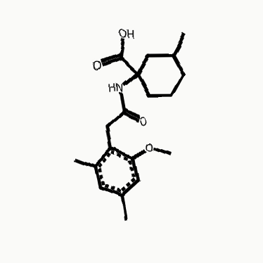 COc1cc(C)cc(C)c1CC(=O)NC1(C(=O)O)CCCC(C)C1